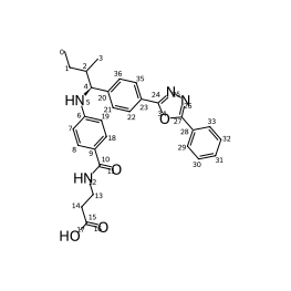 CCC(C)[C@H](Nc1ccc(C(=O)NCCC(=O)O)cc1)c1ccc(-c2nnc(-c3ccccc3)o2)cc1